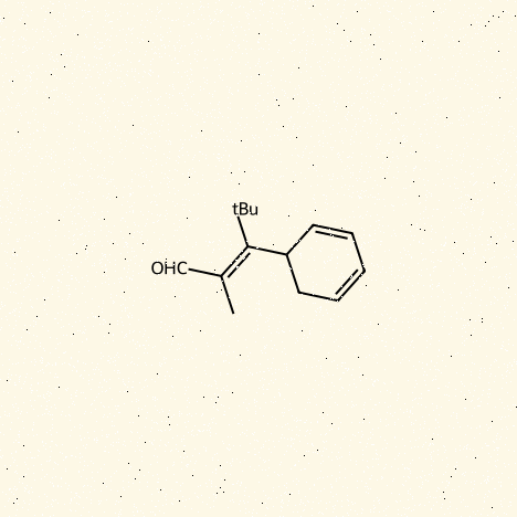 CC(C=O)=C(C1C=CC=CC1)C(C)(C)C